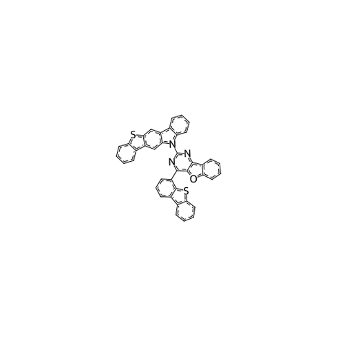 c1ccc2c(c1)oc1c(-c3cccc4c3sc3ccccc34)nc(-n3c4ccccc4c4cc5sc6ccccc6c5cc43)nc12